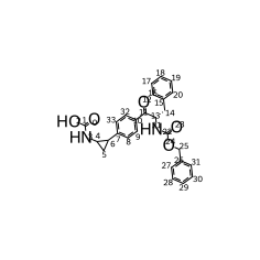 O=C(O)NC1CC1c1ccc(C(=O)[C@H](Cc2ccccc2)NC(=O)OCc2ccccc2)cc1